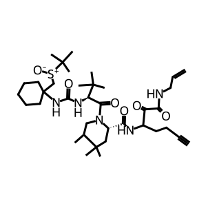 C#CCCC(NC(=O)[C@@H]1CC(C)(C)C(C)CN1C(=O)[C@@H](NC(=O)NC1(C[S+]([O-])C(C)(C)C)CCCCC1)C(C)(C)C)C(=O)C(=O)NCC=C